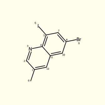 Cc1[c]nc2c(I)cc(Br)cc2c1